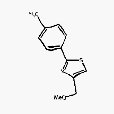 CO[CH]c1csc(-c2ccc(C)cc2)n1